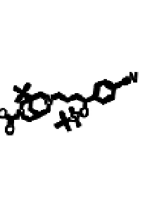 CC(C)(C)C12CC(CN(CCCC(O[Si](C)(C)C(C)(C)C)c3ccc(C#N)cc3)C1)CN(C(=O)O)C2